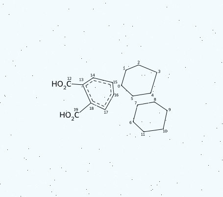 C1CCCCC1.C1CCCCC1.O=C(O)c1ccccc1C(=O)O